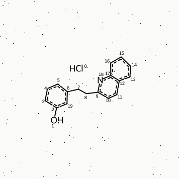 Cl.Oc1cccc(CCc2ccc3ccccc3n2)c1